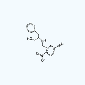 N#Cc1ccc([N+](=O)[O-])c(CNC(CO)Cc2ccccc2)c1